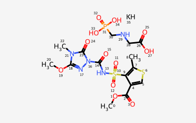 COC(=O)c1csc(C)c1S(=O)(=O)NC(=O)n1nc(OC)n(C)c1=O.O=C(O)CNCP(=O)(O)O.[KH]